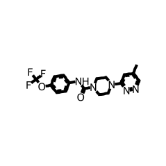 Cc1cnnc(N2CCN(C(=O)Nc3ccc(OC(F)(F)F)cc3)CC2)c1